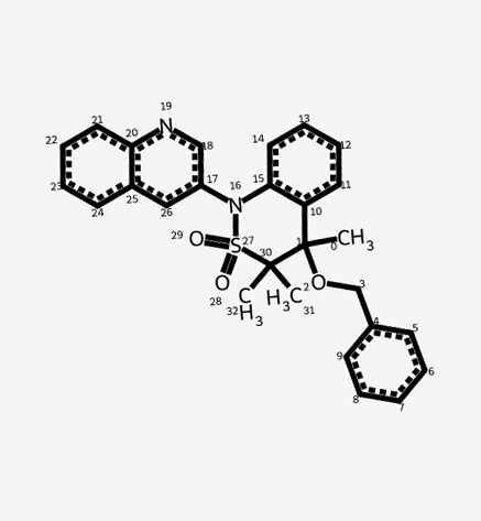 CC1(OCc2ccccc2)c2ccccc2N(c2cnc3ccccc3c2)S(=O)(=O)C1(C)C